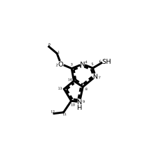 CCOc1nc(S)nc2[nH]c(CC)cc12